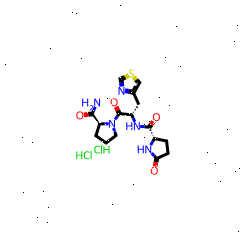 Cl.Cl.NC(=O)[C@@H]1CCCN1C(=O)[C@H](Cc1cscn1)NC(=O)[C@@H]1CCC(=O)N1